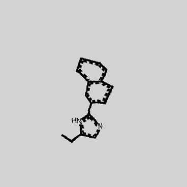 CCc1cnc(-c2ccc3ccccc3c2)[nH]1